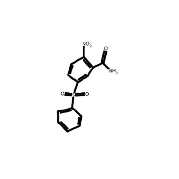 NC(=O)c1cc(S(=O)(=O)c2ccccc2)ccc1[N+](=O)[O-]